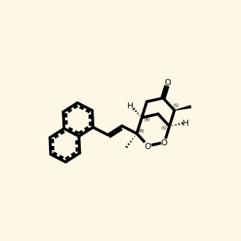 C[C@@H]1C(=O)C[C@H]2C[C@@H]1OO[C@@]2(C)C=Cc1cccc2ccccc12